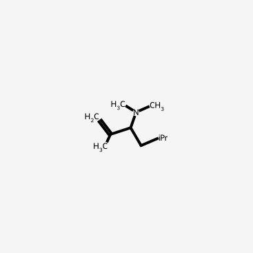 C=C(C)C(CC(C)C)N(C)C